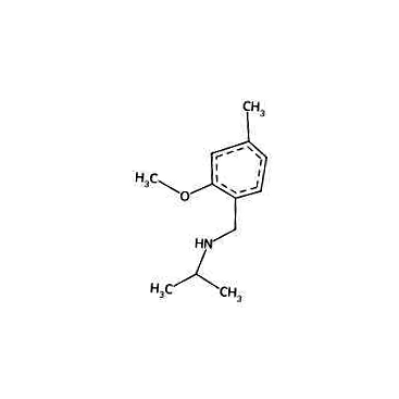 COc1cc(C)ccc1CNC(C)C